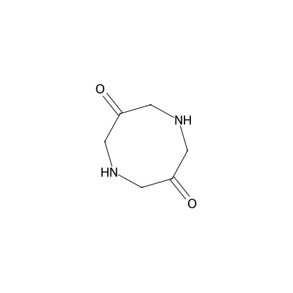 O=C1CNCC(=O)CNC1